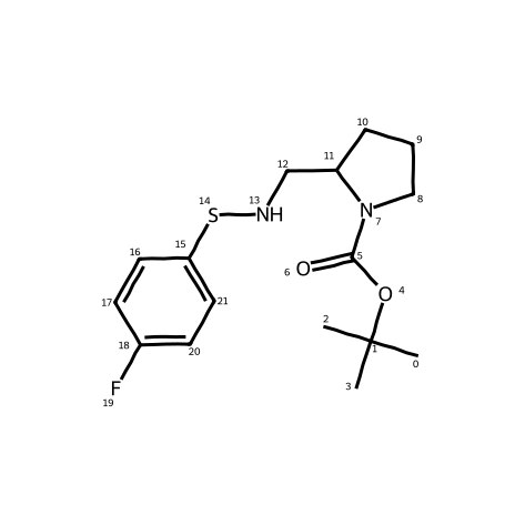 CC(C)(C)OC(=O)N1CCCC1CNSc1ccc(F)cc1